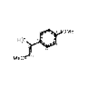 CON=C(C)c1ccc(OC)cc1